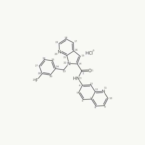 Cl.O=C(Nc1ccc2cccnc2c1)c1cc2cccnc2n1Cc1cccc(F)c1